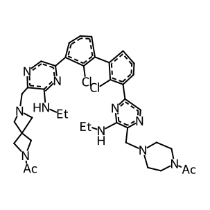 CCNc1nc(-c2cccc(-c3cccc(-c4cnc(CN5CC6(C5)CN(C(C)=O)C6)c(NCC)n4)c3Cl)c2Cl)cnc1CN1CCN(C(C)=O)CC1